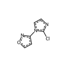 Clc1nccn1-c1ccon1